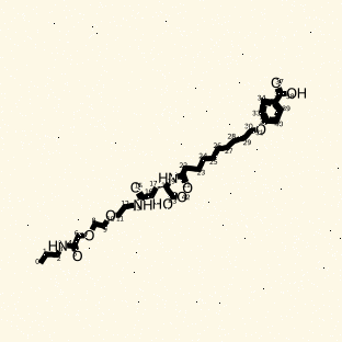 CCCNC(=O)COCCOCCNC(=O)CC[C@H](NC(=O)CCCCCCCCCOc1ccc(C(=O)O)cc1)C(=O)O